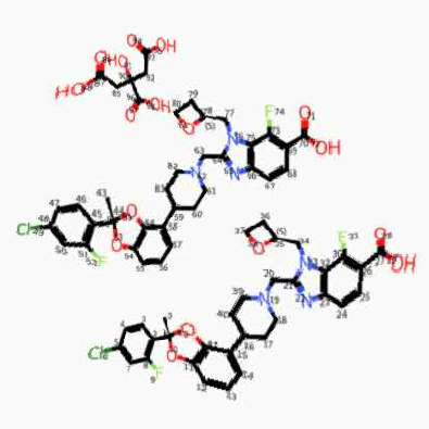 C[C@]1(c2ccc(Cl)cc2F)Oc2cccc(C3CCN(Cc4nc5ccc(C(=O)O)c(F)c5n4C[C@@H]4CCO4)CC3)c2O1.C[C@]1(c2ccc(Cl)cc2F)Oc2cccc(C3CCN(Cc4nc5ccc(C(=O)O)c(F)c5n4C[C@@H]4CCO4)CC3)c2O1.O=C(O)CC(O)(CC(=O)O)C(=O)O